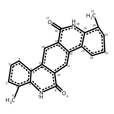 Cc1cccc2c1[nH]c(=O)c1cc3c(cc12)c(=O)[nH]c1c(C)cccc13